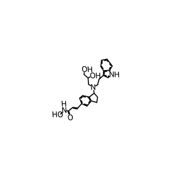 O=C(C=Cc1ccc2c(c1)CCC2N(CCc1c[nH]c2ccccc12)CC(O)CO)NO